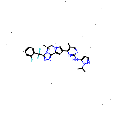 Cc1cnc(Nc2ccnn2C(C)C)nc1-c1cc2n(c1)C[C@H](C)n1c-2nnc1C(F)(F)c1ccccc1F